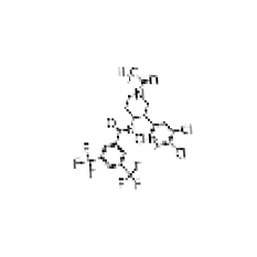 CC(=O)N1CCC(N(C)C(=O)c2cc(C(F)(F)F)cc(C(F)(F)F)c2)C(c2ccc(Cl)c(Cl)c2)C1